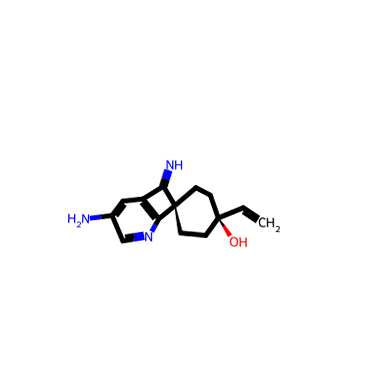 C=C[C@]1(O)CC[C@]2(CC1)C(=N)c1cc(N)cnc12